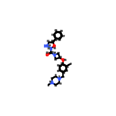 Cc1cc(CN2CCN(C)CC2)ccc1OC1CN(C(=O)N2NC=C(c3ccccc3)O2)C1